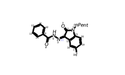 CCCCCN1C(=O)/C(=N\NC(=O)c2ccccc2)c2cc(I)ccc21